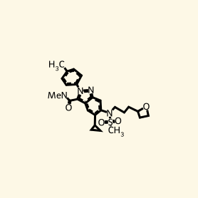 CNC(=O)c1c2cc(C3CC3)c(N(CCCC3CCO3)S(C)(=O)=O)cc2nn1-c1ccc(C)cc1